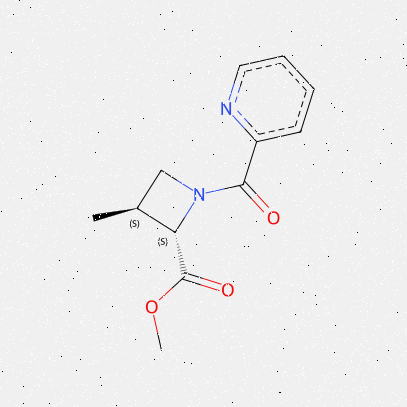 COC(=O)[C@@H]1[C@@H](C)CN1C(=O)c1ccccn1